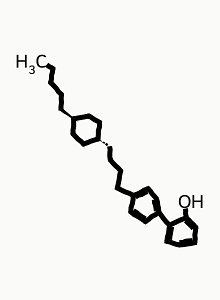 CCCCC[C@H]1CC[C@H](CCCCc2ccc(-c3ccccc3O)cc2)CC1